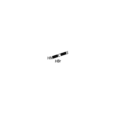 Br.N=C=S